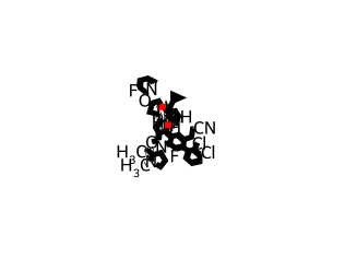 C[C@H](Oc1nc2c(F)c(-c3cccc(Cl)c3Cl)c(CCC#N)cc2c2c1cc([C@H]1C[C@H](Oc3ncccc3F)CN1C(=O)C1CC1)n2[C@H]1[C@H]2CN[C@@H]1C2)C1CCCN1C